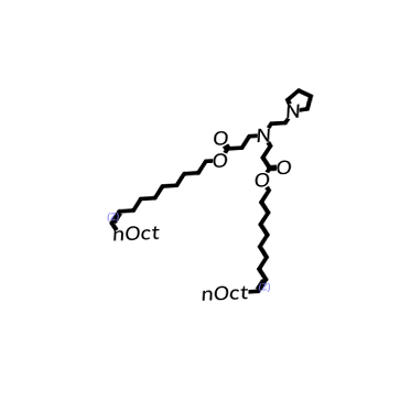 CCCCCCCC/C=C\CCCCCCCCOC(=O)CCN(CCC(=O)OCCCCCCCC/C=C\CCCCCCCC)CCN1CCCC1